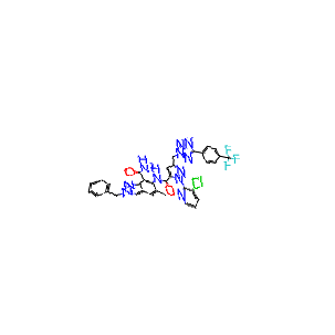 Cc1cc2cn(Cc3ccccc3)nc2c(C(N)=O)c1NC(=O)c1cc(Cn2nnc(-c3ccc(C(F)(F)F)cc3)n2)nn1-c1ncccc1Cl